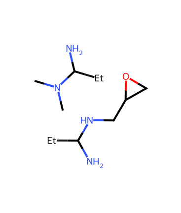 CCC(N)N(C)C.CCC(N)NCC1CO1